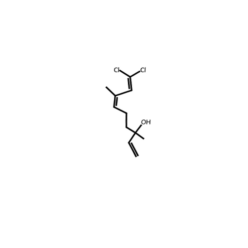 C=CC(C)(O)CCC=C(C)C=C(Cl)Cl